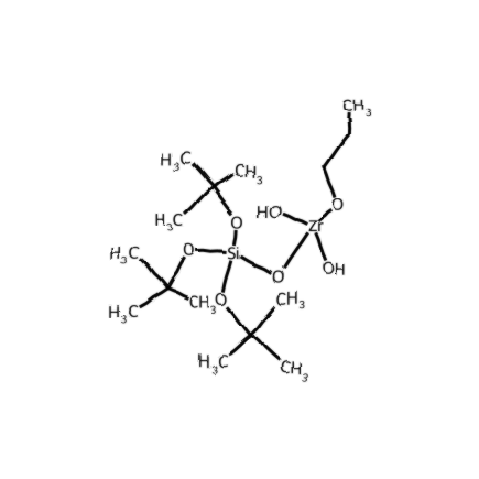 CCC[O][Zr]([OH])([OH])[O][Si](OC(C)(C)C)(OC(C)(C)C)OC(C)(C)C